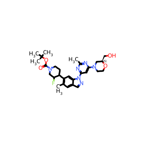 Cc1nc(N2CCO[C@H](CO)C2)cc(-n2ncc3cc(C)c(C4CCN(C(=O)OC(C)(C)C)CC4F)cc32)n1